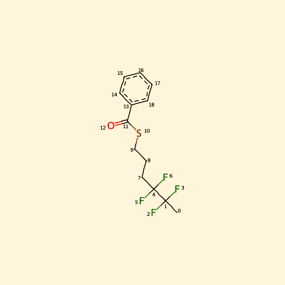 CC(F)(F)C(F)(F)CCCSC(=O)c1ccccc1